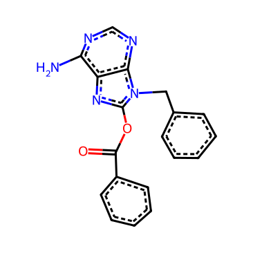 Nc1ncnc2c1nc(OC(=O)c1ccccc1)n2Cc1ccccc1